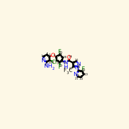 Nc1nccc(Oc2cc(F)c(NC(=O)c3cnn(-c4ncccc4F)c3C(F)(F)F)cc2F)c1Cl